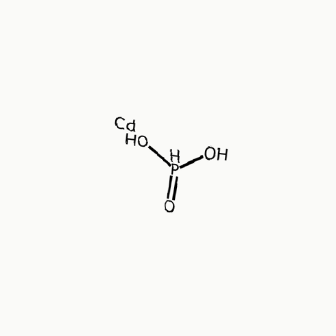 O=[PH](O)O.[Cd]